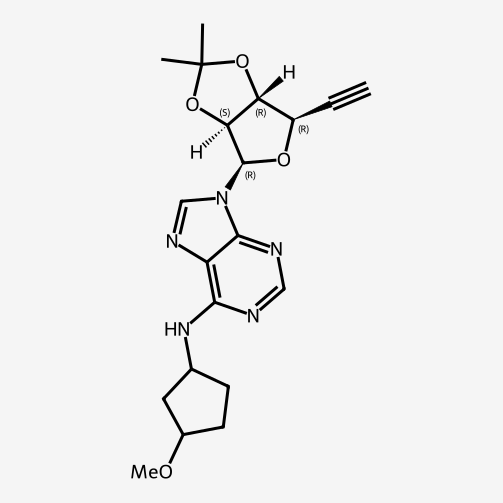 C#C[C@H]1O[C@@H](n2cnc3c(NC4CCC(OC)C4)ncnc32)[C@H]2OC(C)(C)O[C@@H]21